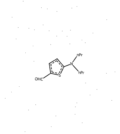 CCCN(CCC)c1ccc(C=O)s1